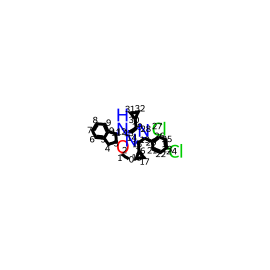 CCO[C@H]1Cc2ccccc2[C@H]1Nc1nc(C2CC2)c(-c2ccc(Cl)cc2Cl)nc1C1CC1